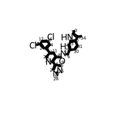 Cc1[nH]c2cc(CNC(=O)c3cc(-c4cc(Cl)cc(Cl)c4)cnc3-c3cnn(C)c3)ccc2c1C